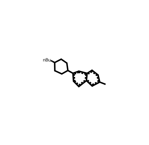 CCCCC1CCC(c2ccc3cc(C)ccc3c2)CC1